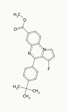 COC(=O)c1ccc2c(c1)nc(-c1ccc(C(C)(C)C)cc1)c1c(F)ccn12